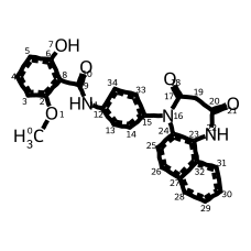 COc1cccc(O)c1C(=O)Nc1ccc(N2C(=O)CC(=O)Nc3c2ccc2ccccc32)cc1